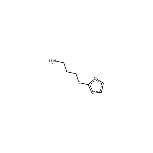 NCCCOc1ccco1